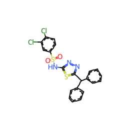 O=S(=O)(Nc1nnc(C(c2ccccc2)c2ccccc2)s1)c1ccc(Cl)c(Cl)c1